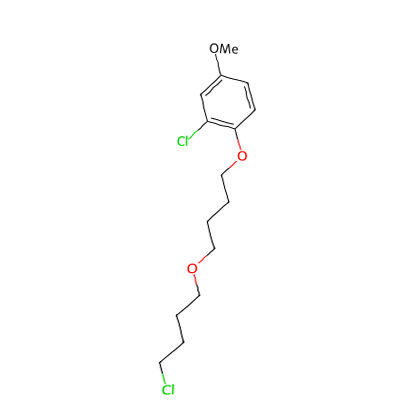 COc1ccc(OCCCCOCCCCCl)c(Cl)c1